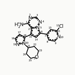 Nc1ncnn2c(-c3ccnc(Cl)c3)cc(-c3ccnn3C3CCOCC3)c12